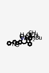 C=C/C1=N/C(=C)C2C(CCc3cc4oc5nc(-c6ccccc6)ccc5c4cc31)c1ccccc1-c1cc(CC(C)CC)c([Si](C)(C)C)c[n+]12